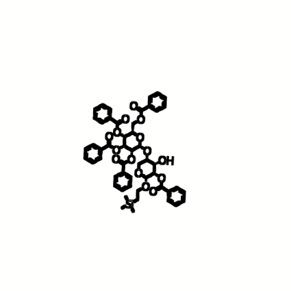 C[Si](C)(C)CCO[C@@H]1OC[C@@H](O[C@@H]2O[C@H](COC(=O)c3ccccc3)[C@H](OC(=O)c3ccccc3)[C@H](OC(=O)c3ccccc3)[C@H]2OC(=O)c2ccccc2)[C@H](O)[C@H]1OC(=O)c1ccccc1